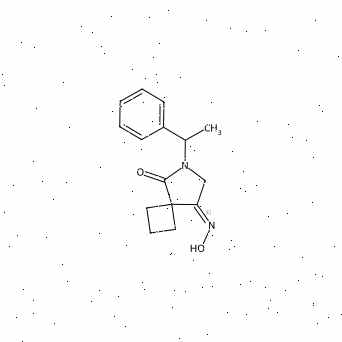 CC(c1ccccc1)N1C/C(=N/O)C2(CCC2)C1=O